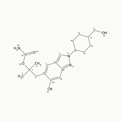 CC(C)(Cc1cc2cn(C3CCC(CO)CC3)nc2cc1C#N)OC(N)=O